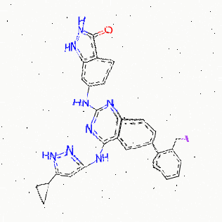 O=c1[nH][nH]c2cc(Nc3nc(Nc4cc(C5CC5)[nH]n4)c4cc(-c5ccccc5CI)ccc4n3)ccc12